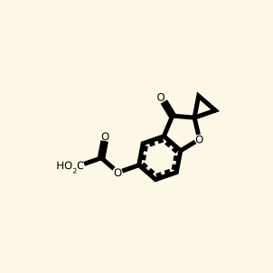 O=C(O)C(=O)Oc1ccc2c(c1)C(=O)C1(CC1)O2